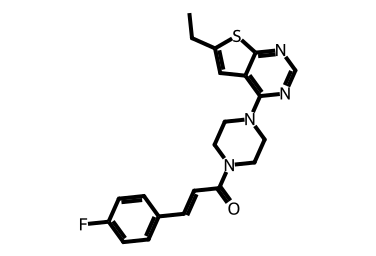 CCc1cc2c(N3CCN(C(=O)C=Cc4ccc(F)cc4)CC3)ncnc2s1